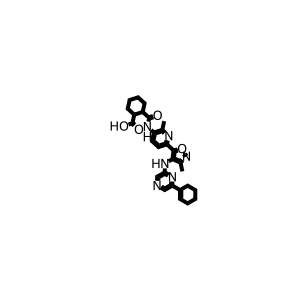 Cc1nc(-c2onc(C)c2Nc2cncc(C3=CCCCC3)n2)ccc1NC(=O)C1CCCCC1C(=O)O